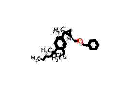 CCCCC(C)(C)c1ccc([C@@]2(C)C[C@H]2COCc2ccccc2)cc1CC